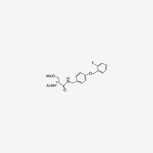 COC[C@@H](NC(C)=O)C(=O)NCc1ccc(OCc2ccccc2F)cc1